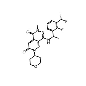 CC(Nc1nn(C)c(=O)c2cc(=O)n(C3CCOCC3)cc12)c1cccc(C(F)F)c1F